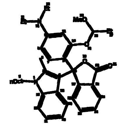 CCCCCCCCn1c(C)c(C2(c3ccc(N(CC)CC)cc3OC(CC)OC)OC(=O)c3ccccc32)c2ccccc21